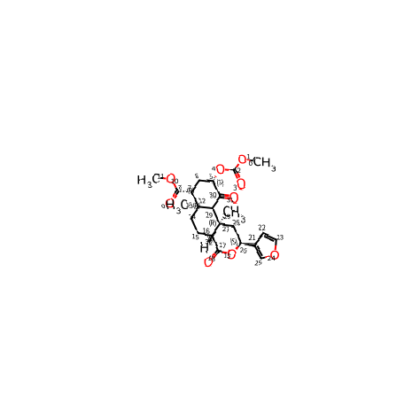 COC(=O)O[C@H]1C[C@@H](C(=O)OC)[C@]2(C)CC[C@H]3C(=O)O[C@H](c4ccoc4)C[C@]3(C)C2C1=O